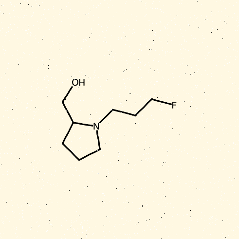 OCC1CCCN1CCCF